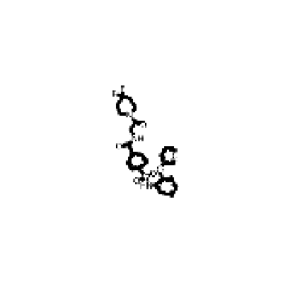 O=C(NCC(=O)N1CCC(F)(F)CC1)c1ccc(S(=O)(=O)Nc2ccccc2Oc2ccccc2)cc1